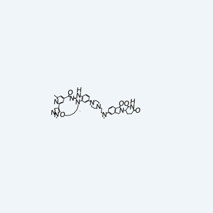 Cc1cc2cc(n1)-c1cnn(C)c1OCCC[C@@H](C)CN1/C(=N/C2=O)Nc2ccc(N3CCN(CCN(C)c4ccc5c(c4)CN(C4CCC(=O)NC4=O)C5=O)CC3)cc21